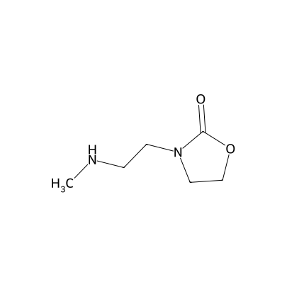 CNCCN1CCOC1=O